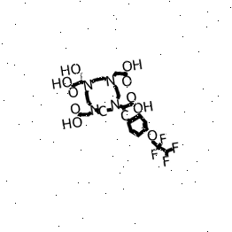 O=C(O)CN1CCN(C(Cc2ccc(OCC(F)(F)C(F)F)cc2)C(=O)O)CCN(CC(=O)O)CCN([C@@H](CO)C(=O)O)CC1